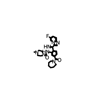 CN1CCN(C(=O)Nc2cc(C(=O)N3CCCCCC3)ccc2C(=N)c2cnc3ccc(F)cn23)CC1